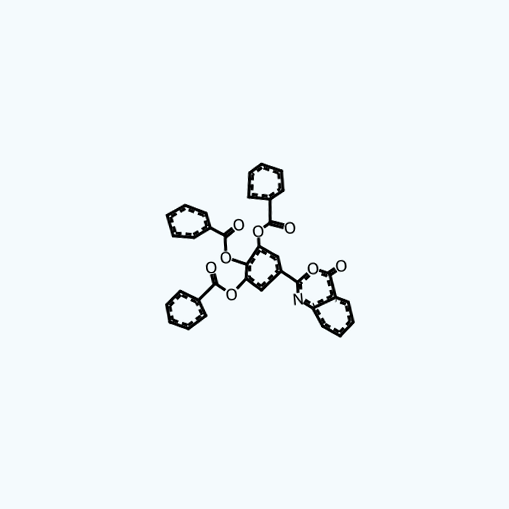 O=C(Oc1cc(-c2nc3ccccc3c(=O)o2)cc(OC(=O)c2ccccc2)c1OC(=O)c1ccccc1)c1ccccc1